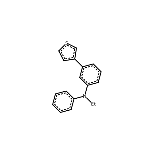 CCN(c1ccccc1)c1cccc(-c2ccsc2)c1